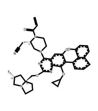 C=CC(=O)N1CCN(c2nc(OC[C@@]34CCCN3C[C@H](F)C4)nc3c(OC4CC4)c(-c4cccc5cccc(Cl)c45)c(Cl)cc23)C[C@@H]1CC#N